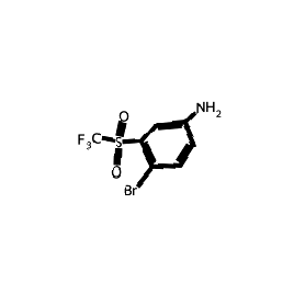 Nc1ccc(Br)c(S(=O)(=O)C(F)(F)F)c1